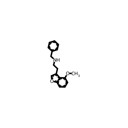 COc1cccc2occ(CCNCc3ccccc3)c12